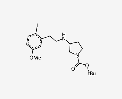 COc1ccc(I)c(CCNC2CCN(C(=O)OC(C)(C)C)C2)c1